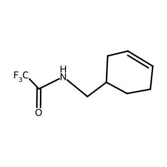 O=C(NCC1CC=CCC1)C(F)(F)F